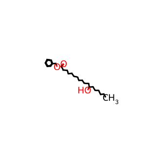 CCCCCCC(O)CCCCCCCCCCC(=O)OCc1ccccc1